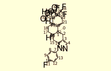 C[C@]12Cc3cnn(-c4ccc(F)cc4)c3C[C@H]1CC[C@H]1C2=CC[C@](C(=O)O)(C(F)(F)F)[C@H]1C(=O)O